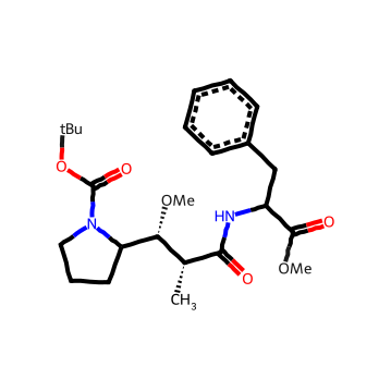 COC(=O)C(Cc1ccccc1)NC(=O)[C@H](C)[C@@H](OC)C1CCCN1C(=O)OC(C)(C)C